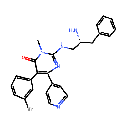 CC(C)c1cccc(-c2c(-c3ccncc3)nc(NC[C@H](N)Cc3ccccc3)n(C)c2=O)c1